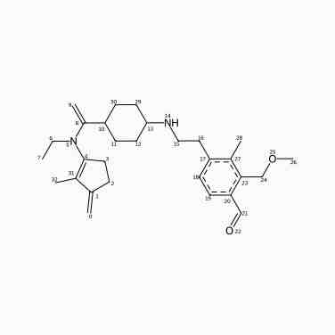 C=C1CCC(N(CC)C(=C)C2CCC(NCCc3ccc(C=O)c(COC)c3C)CC2)=C1C